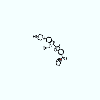 Cc1c(-c2cc3ccc(N4CCNCC4)cc3n2CC2CC2)oc2cc(C(=O)N3CC4CCC3[C@@H]4C)ccc12